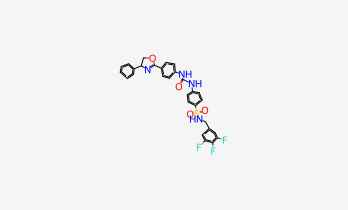 O=C(Nc1ccc(C2=NC(c3ccccc3)CO2)cc1)Nc1ccc(S(=O)(=O)NCc2cc(F)c(F)c(F)c2)cc1